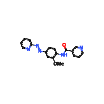 COc1cc(N=Nc2ccccn2)ccc1NC(=O)c1cccnc1